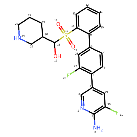 Nc1ncc(-c2ccc(-c3ccccc3S(=O)(=O)C(O)C3CCCNC3)cc2F)cc1F